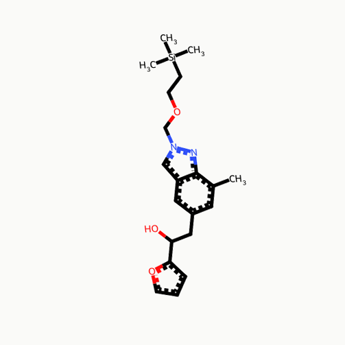 Cc1cc(CC(O)c2ccco2)cc2cn(COCC[Si](C)(C)C)nc12